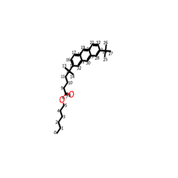 CCCCCCOC(=O)CCCC(C)(C)c1ccc2cc3ccc(C(C)(C)C)cc3cc2c1